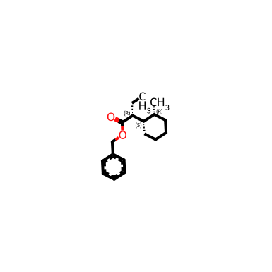 CC[C@@H](C(=O)OCc1ccccc1)[C@H]1CCCC[C@H]1C